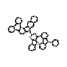 c1ccc(-n2c3ccccc3c3c(-c4nc(-n5c6cc7ccccc7cc6c6c7c8ccccc8c8ccccc8c7ccc65)nc5c4oc4ccccc45)cccc32)cc1